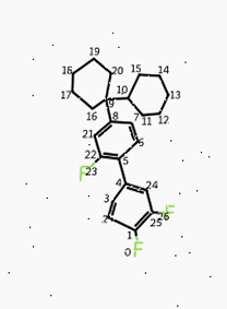 Fc1ccc(-c2ccc(C3(C4CCCCC4)CCCCC3)cc2F)cc1F